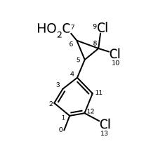 Cc1ccc(C2C(C(=O)O)C2(Cl)Cl)cc1Cl